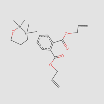 C=CCOC(=O)c1ccccc1C(=O)OCC=C.C[Si]1(C)CCCO[Si]1(C)C